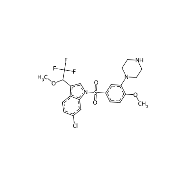 COc1ccc(S(=O)(=O)n2cc(C(OC)C(F)(F)F)c3ccc(Cl)cc32)cc1N1CCNCC1